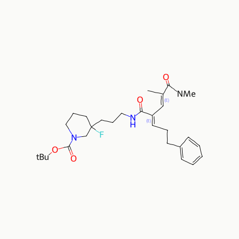 CNC(=O)/C(C)=C/C(=C\CCc1ccccc1)C(=O)NCCCC1(F)CCCN(C(=O)OC(C)(C)C)C1